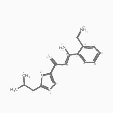 CC(C)Cc1ncc(C(=N)/C=C(\N)c2ccccc2CN)s1